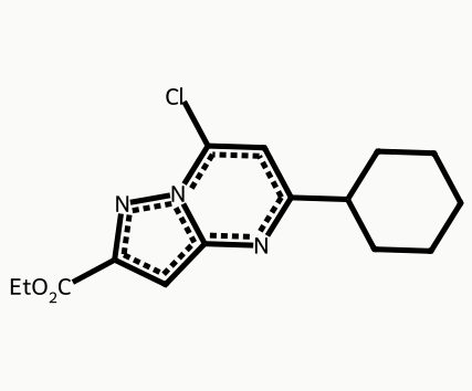 CCOC(=O)c1cc2nc(C3CCCCC3)cc(Cl)n2n1